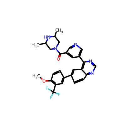 COc1ccc(-c2ccc3ncnc(-c4cncc(C(=O)N5CC(C)NC(C)C5)c4)c3c2)cc1C(F)(F)F